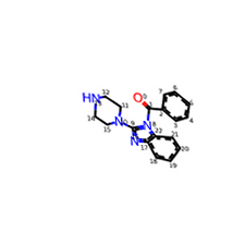 O=C(c1ccccc1)n1c(N2CCNCC2)nc2ccccc21